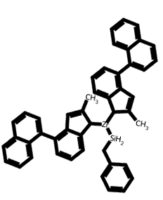 CC1=Cc2c(-c3cccc4ccccc34)cccc2[CH]1[Zr]([SiH2]Cc1ccccc1)[CH]1C(C)=Cc2c(-c3cccc4ccccc34)cccc21